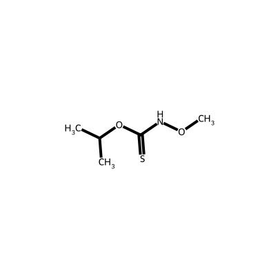 CONC(=S)OC(C)C